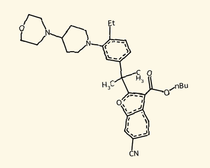 CCCCOC(=O)c1c(C(C)(C)c2ccc(CC)c(N3CCC(N4CCOCC4)CC3)c2)oc2cc(C#N)ccc12